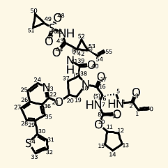 C=CC(=O)NC[C@H](NC(=O)OC1CCCC1)C(=O)N1CC(Oc2nccc3ccc(-c4cccs4)cc23)C[C@H]1C(=O)N[C@]1(C(=O)NS(=O)(=O)C2CC2)C[C@H]1C=C